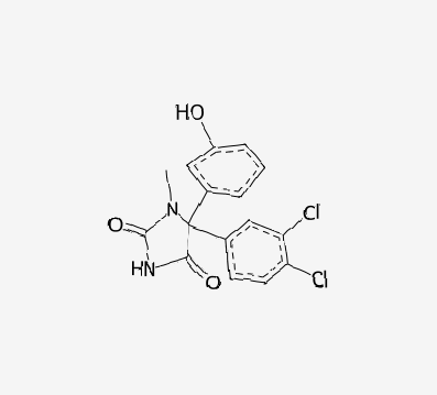 CN1C(=O)NC(=O)C1(c1cccc(O)c1)c1ccc(Cl)c(Cl)c1